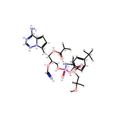 COC(C)(C)COC(=O)[C@H](C)NP(=O)(OC[C@@H](OC#N)[C@H](Cc1ccc2c(N)ncnn12)OC(=O)C(C)C)Oc1ccc(C(C)(C)C)cc1